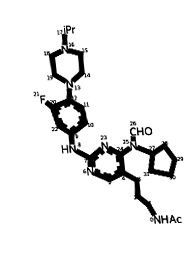 CC(=O)NCCCc1cnc(Nc2ccc(N3CCN(C(C)C)CC3)c(F)c2)nc1N(C=O)C1CCCC1